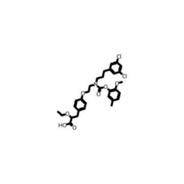 CCOC(Cc1ccc(OCCN(CCCc2cc(Cl)cc(Cl)c2)C(=O)Oc2cc(C)ccc2OC)cc1)C(=O)O